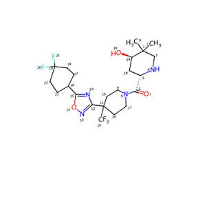 CC1(C)CN[C@H](C(=O)N2CCC(c3noc(C4CCC(F)(F)CC4)n3)(C(F)(F)F)CC2)C[C@H]1O